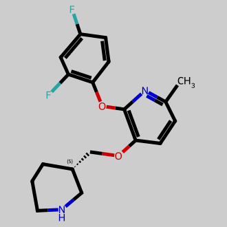 Cc1ccc(OC[C@H]2CCCNC2)c(Oc2ccc(F)cc2F)n1